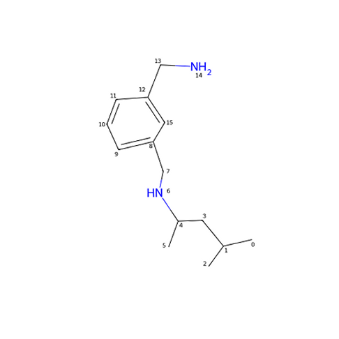 CC(C)CC(C)NCc1cccc(CN)c1